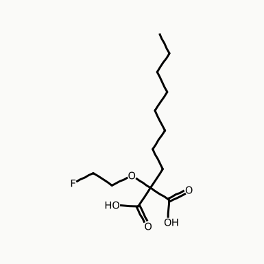 CCCCCCCCC(OCCF)(C(=O)O)C(=O)O